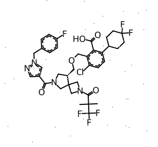 CC(C)(C(=O)N1CC2(CN(C(=O)c3cnn(Cc4ccc(F)cc4)c3)C[C@H]2COCc2c(Cl)ccc(C3CCC(F)(F)CC3)c2C(=O)O)C1)C(F)(F)F